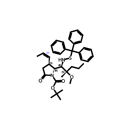 C/C=C\[C@@H]1CC(=O)N(C(=O)OC(C)(C)C)[C@H]1[C@@H](NSC(c1ccccc1)(c1ccccc1)c1ccccc1)[C@](C)(CCC)OC